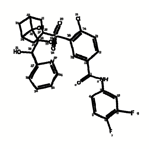 O=C(Nc1ccc(F)c(F)c1)c1ccc(Cl)c(S(=O)(=O)C2CC3CC(C2)C3(O)C(O)C(O)c2ccccn2)c1